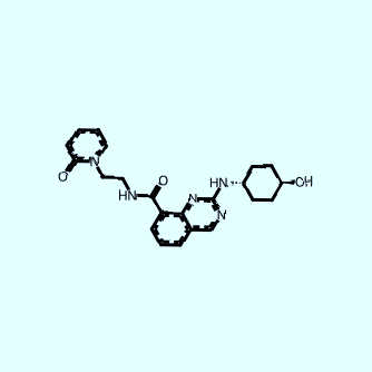 O=C(NCCn1ccccc1=O)c1cccc2cnc(N[C@H]3CC[C@H](O)CC3)nc12